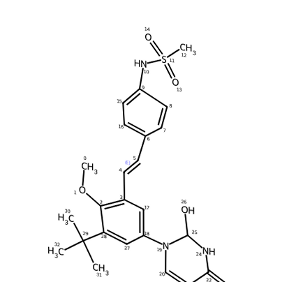 COc1c(/C=C/c2ccc(NS(C)(=O)=O)cc2)cc(N2C=CC(=O)NC2O)cc1C(C)(C)C